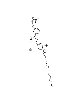 CCCCCCCCCCCCCCOc1ccc(CCN(C(C)=O)c2cccc(C[n+]3csc(C)c3)c2)cc1F.[Br-]